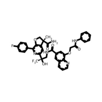 C[C@]1(C(N)=O)COc2c1cc([C@@](O)(CNC(=O)c1cc(OCC(=O)Nc3ccccc3)c3ncccc3c1)C(F)(F)F)nc2-c1ccc(F)cc1